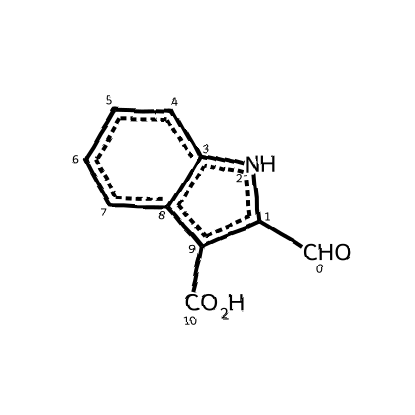 O=Cc1[nH]c2ccccc2c1C(=O)O